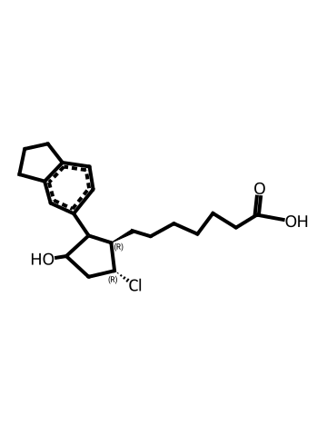 O=C(O)CCCCCC[C@@H]1C(c2ccc3c(c2)CCC3)C(O)C[C@H]1Cl